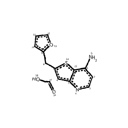 Nc1ccnc2cc(Cc3ccco3)sc12.O=CO